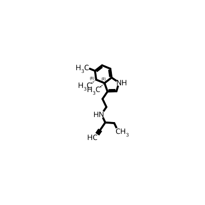 C#CC(CC)NCCC1=CNC2=CC=C(C)[C@@H](C)[C@]12C